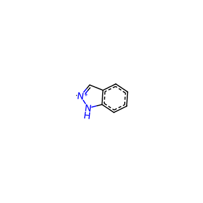 C1=[N+]Nc2ccccc21